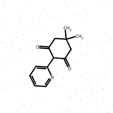 CC1(C)CC(=O)C(c2ccccn2)C(=O)C1